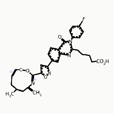 C=C1CC(C)C/C=C\CO/C(c2cc(-c3ccc4c(=O)n(-c5ccc(F)cc5)c(CCCCC(=O)O)nc4c3)no2)=N\1